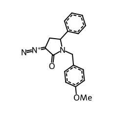 COc1ccc(CN2C(=O)C(=[N+]=[N-])CC2c2ccccc2)cc1